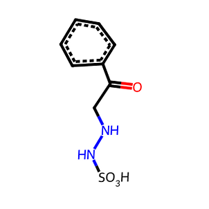 O=C(CNNS(=O)(=O)O)c1ccccc1